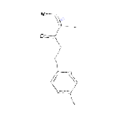 CC(=O)/C=C(/C)C(=O)CCc1ccc(C)cc1